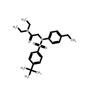 CCc1ccc(N(CC(=O)N(CC)CC)S(=O)(=O)c2ccc(C(C)(C)C)cc2)cc1